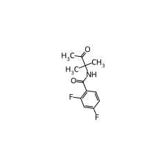 CC(=O)C(C)(C)NC(=O)c1ccc(F)cc1F